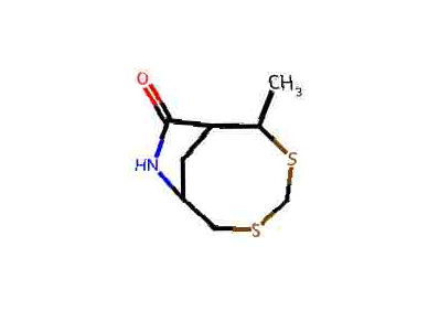 CC1SCSCC2CC1C(=O)N2